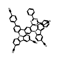 N#Cc1ccc(-c2ccc(-n3c4ccc(C#N)cc4c4cc(C#N)ccc43)c(-c3ccc(-n4c5ccc(C#N)cc5c5cc(C#N)ccc54)c(-c4nc(-c5ccccc5)nc(-c5ccccc5)n4)c3)c2)cc1